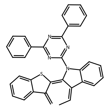 C=c1/c(=c2\c(=C/C)c3ccccc3n2-c2nc(-c3ccccc3)nc(-c3ccccc3)n2)sc2ccccc12